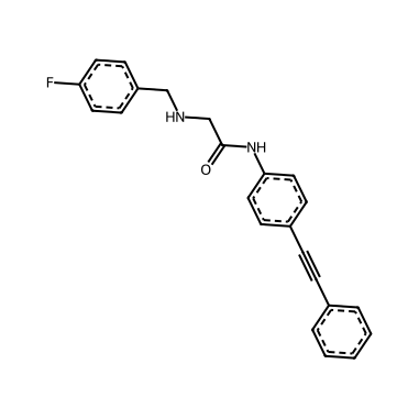 O=C(CNCc1ccc(F)cc1)Nc1ccc(C#Cc2ccccc2)cc1